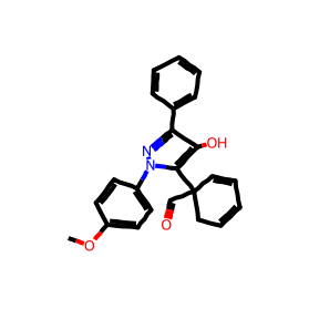 COc1ccc(-n2nc(-c3ccccc3)c(O)c2C2(C=O)C=CC=CC2)cc1